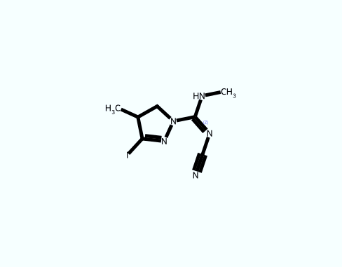 CN/C(=N/C#N)N1CC(C)C(I)=N1